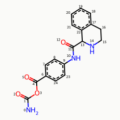 NC(=O)OC(=O)c1ccc(NC(=O)C2NCCc3ccccc32)cc1